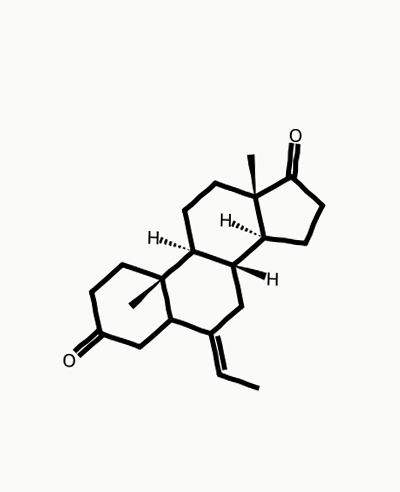 C/C=C1\C[C@@H]2[C@H](CC[C@]3(C)C(=O)CC[C@@H]23)[C@@]2(C)CCC(=O)CC12